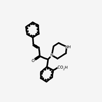 O=C(O)c1ccccc1C(C(=O)/C=C/c1ccccc1)N1CCNCC1